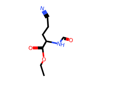 CCOC(=O)C(CCC#N)NC=O